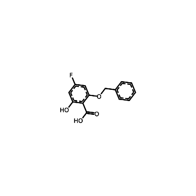 O=C(O)c1c(O)cc(F)cc1OCc1ccccc1